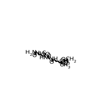 C=C(CBr)C(=O)OC(C)(C)CCCCC(=O)NCC(=O)NC(CCCNC(N)=O)C(C)=O